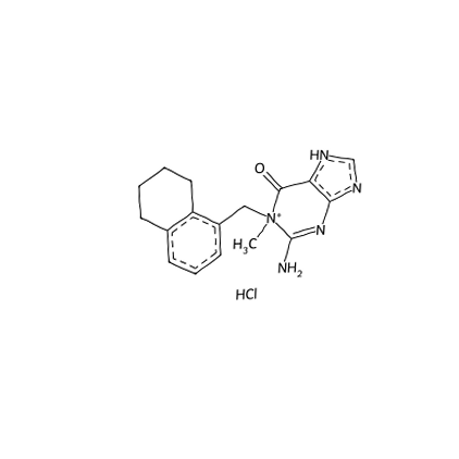 C[N+]1(Cc2cccc3c2CCCC3)C(=O)c2[nH]cnc2N=C1N.Cl